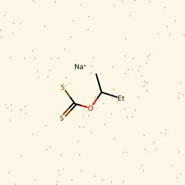 CCC(C)OC(=S)[S-].[Na+]